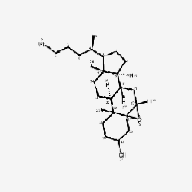 CC(C)CCC[C@@H](C)[C@H]1CC[C@H]2[C@@H]3C[C@@H]4OC45CC(O)CC[C@]5(C)[C@H]3CC[C@]12C